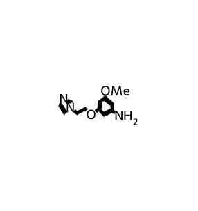 COc1cc(N)cc(OCCn2ccnc2)c1